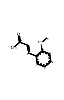 COc1ccccc1C=CC(=O)Cl